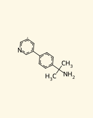 CC(C)(N)c1ccc(-c2c[c]cnc2)cc1